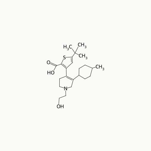 CC1CCC(C2=C(c3cc(C(C)(C)C)sc3C(=O)O)CCN(CCO)C2)CC1